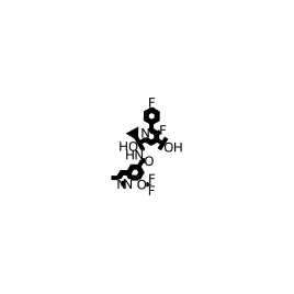 Cc1cc2cc(C(=O)NCC(O)(c3cc(C(C)(C)O)c(F)c(-c4ccc(F)cc4)n3)C3CC3)cc(OC(F)F)c2nn1